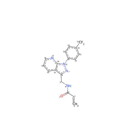 C=CC(=O)NCc1nn(-c2ccc(C(F)(F)F)cc2)c2ncccc12